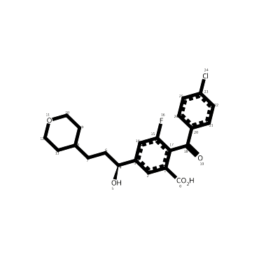 O=C(O)c1cc([C@@H](O)CCC2CCOCC2)cc(F)c1C(=O)c1ccc(Cl)cc1